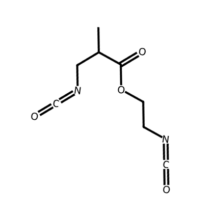 CC(CN=C=O)C(=O)OCCN=C=O